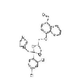 O=Cc1ccc(OCC2COC(Cn3ccnc3)(c3ccc(Cl)cc3Cl)O2)c2ccccc12